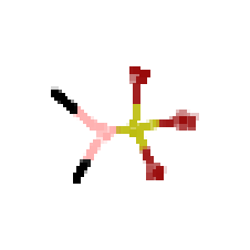 CB(C)S(Br)(Br)Br